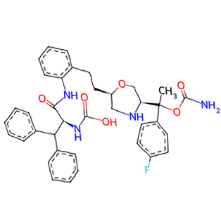 CC(OC(N)=O)(c1ccc(F)cc1)[C@@H]1CO[C@H](CCc2ccccc2NC(=O)[C@@H](NC(=O)O)C(c2ccccc2)c2ccccc2)CN1